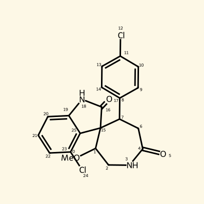 COC1CNC(=O)CC(c2ccc(Cl)cc2)C12C(=O)Nc1cccc(Cl)c12